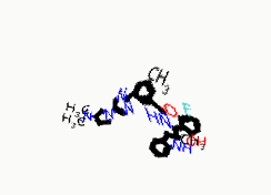 Cc1cc(C(=O)N[C@H](c2cc(F)ccc2O)C2(C)Cc3ccccc3N2)cc(-c2ncc(N3CC[C@@H](N(C)C)C3)cn2)c1